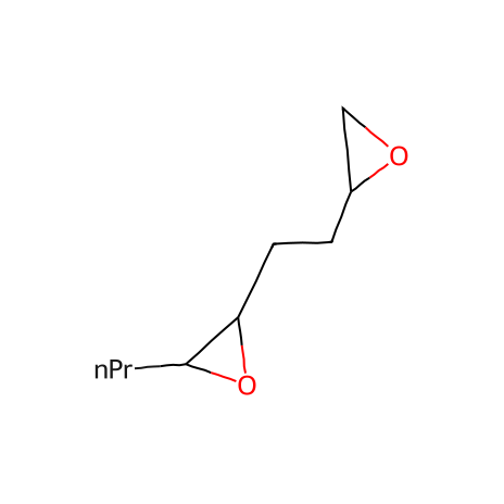 CCCC1OC1CCC1CO1